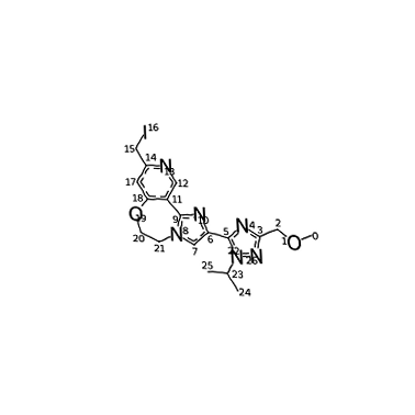 COCc1nc(-c2cn3c(n2)-c2cnc(CI)cc2OCC3)n(C(C)C)n1